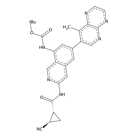 Cc1c(-c2cc(NC(=O)OC(C)(C)C)c3cnc(NC(=O)[C@@H]4C[C@H]4C#N)cc3c2)cnc2nccnc12